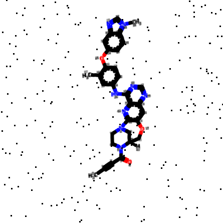 CC#CC(=O)N1CCN2C[C@@H]1COc1cc3ncnc(Nc4ccc(Oc5ccc6c(c5)ncn6C)c(C)c4)c3nc12